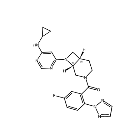 O=C(c1cc(F)ccc1-n1nccn1)N1CC[C@H]2CN(c3cc(NC4CC4)ncn3)[C@H]2C1